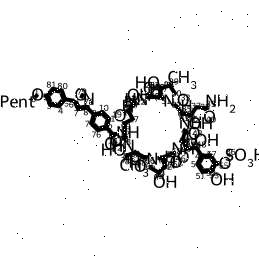 CCCCCOc1ccc(-c2cc(-c3ccc(C(=O)N[C@]45C[C@@H](O4)[C@@H](O)NC(=O)[C@@H]4[C@@H](O)[C@@H](C)CN4C(=O)[C@H]([C@H](O)CC(N)=O)NC(=O)[C@H]([C@H](O)[C@@H](O)c4ccc(O)c(OS(=O)(=O)O)c4)NC(=O)[C@@H]4C[C@@H](O)CN4C(=O)[C@H]([C@@H](C)O)NC5=O)cc3)no2)cc1